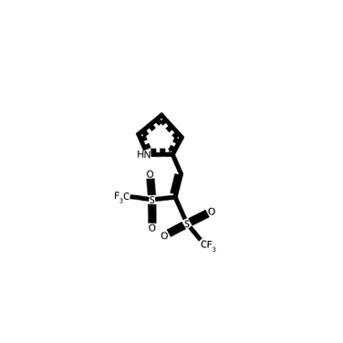 O=S(=O)(C(=Cc1ccc[nH]1)S(=O)(=O)C(F)(F)F)C(F)(F)F